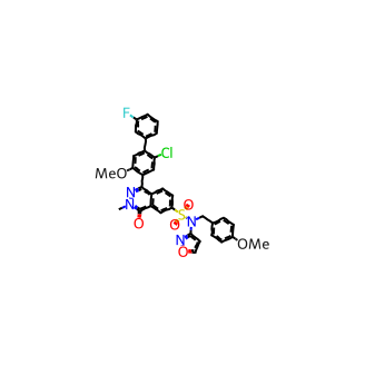 COc1ccc(CN(c2ccon2)S(=O)(=O)c2ccc3c(-c4cc(Cl)c(-c5cccc(F)c5)cc4OC)nn(C)c(=O)c3c2)cc1